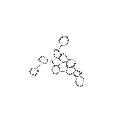 c1ccc(-c2ccc(N(c3cccc(-c4ccccc4)c3)c3cccc(-c4ccc5oc6ccccc6c5c4)c3-c3cccc4ccccc34)cc2)cc1